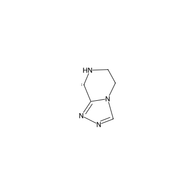 [C]1NCCn2cnnc21